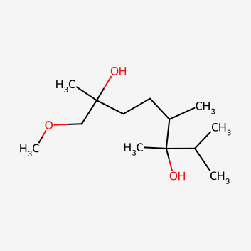 COCC(C)(O)CCC(C)C(C)(O)C(C)C